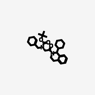 CC(C)(C)OC(=O)N(CC(=O)N1CCc2ccccc2C1C1CCCCC1)CC1=CCCCC1